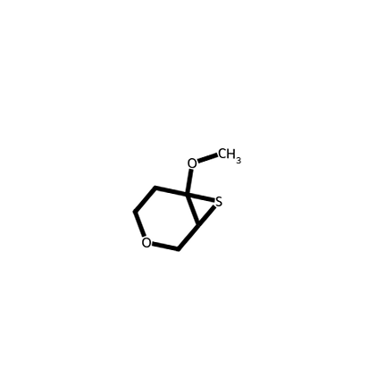 COC12CCOCC1S2